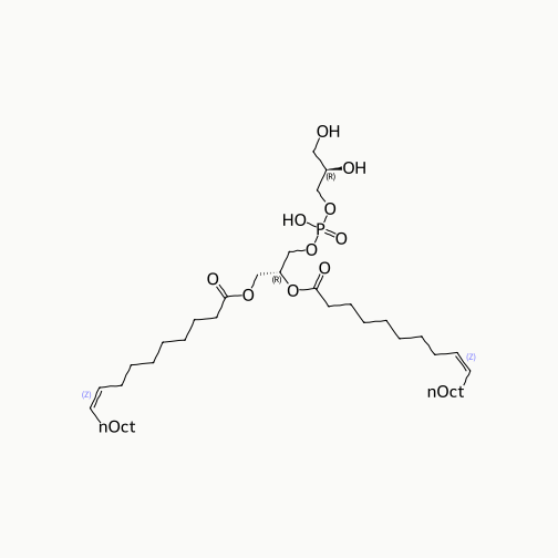 CCCCCCCC/C=C\CCCCCCCC(=O)OC[C@H](COP(=O)(O)OC[C@H](O)CO)OC(=O)CCCCCCC/C=C\CCCCCCCC